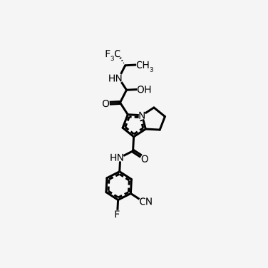 C[C@H](NC(O)C(=O)c1cc(C(=O)Nc2ccc(F)c(C#N)c2)c2n1CCC2)C(F)(F)F